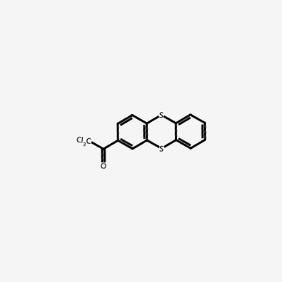 O=C(c1ccc2c(c1)Sc1ccccc1S2)C(Cl)(Cl)Cl